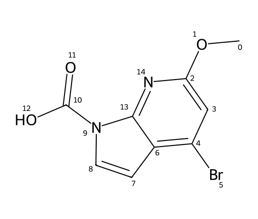 COc1cc(Br)c2ccn(C(=O)O)c2n1